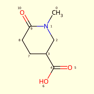 CN1CC(C(=O)O)CCC1=O